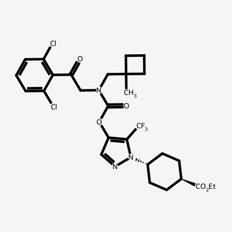 CCOC(=O)[C@H]1CC[C@H](n2ncc(OC(=O)N(CC(=O)c3c(Cl)cccc3Cl)CC3(C)CCC3)c2C(F)(F)F)CC1